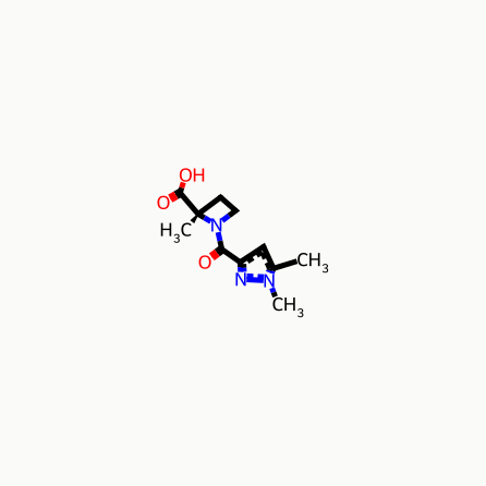 Cc1cc(C(=O)N2CC[C@@]2(C)C(=O)O)nn1C